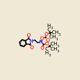 CC(C)(C)OC(=O)ON(CCN1C(=O)c2ccccc2C1=O)C(=O)OC(C)(C)C